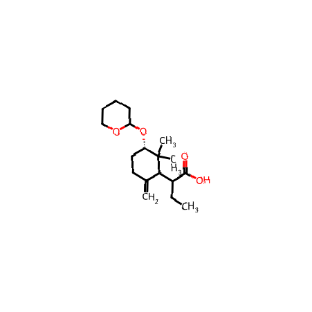 C=C1CC[C@H](OC2CCCCO2)C(C)(C)C1C(CC)C(=O)O